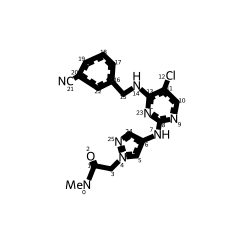 CNC(=O)Cn1cc(Nc2ncc(Cl)c(NCc3cccc(C#N)c3)n2)cn1